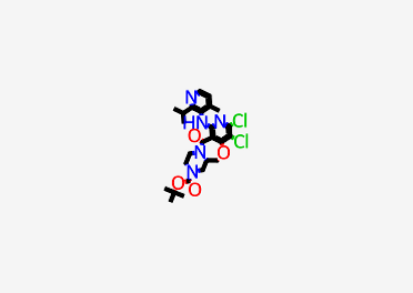 Cc1ccnc(C(C)C)c1Nc1nc(Cl)c(Cl)c2c1C(=O)N1CCN(C(=O)OC(C)(C)C)CC1CO2